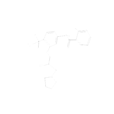 O=C(Nc1ccc(C(F)(F)C(F)(F)F)c(OCC(O)CN2CCCC2)c1)c1cccnc1Cl